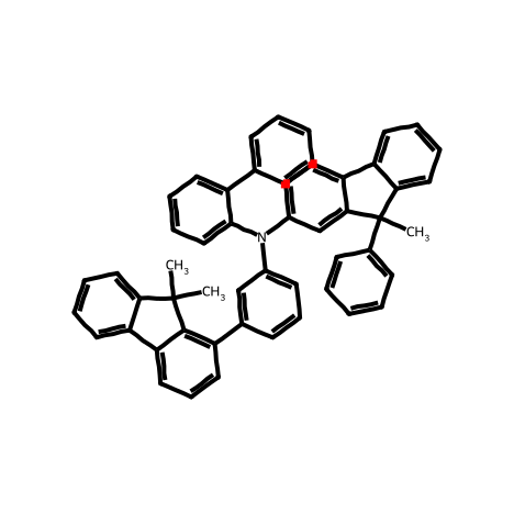 CC1(C)c2ccccc2-c2cccc(-c3cccc(N(c4ccc5c(c4)C(C)(c4ccccc4)c4ccccc4-5)c4ccccc4-c4ccccc4)c3)c21